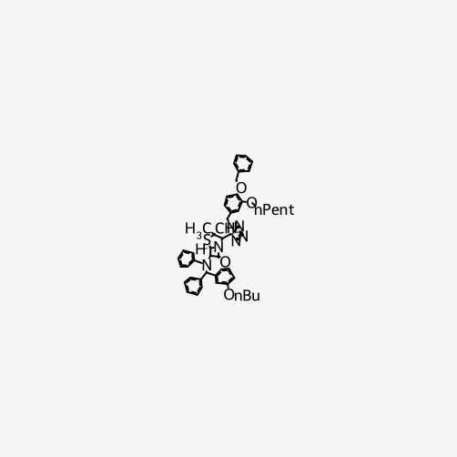 CCCCCOc1cc(Cn2nnnc2C2N3C(=O)C(N(c4ccccc4)C(c4ccccc4)c4cccc(OCCCC)c4)[C@H]3SC2(C)C)ccc1OCc1ccccc1